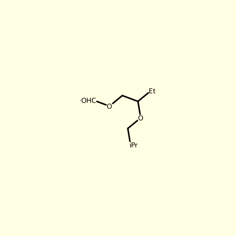 CCC(CO[C]=O)OCC(C)C